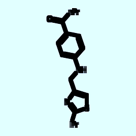 CCCC(=O)c1ccc(NCc2csc(C(C)C)n2)cc1